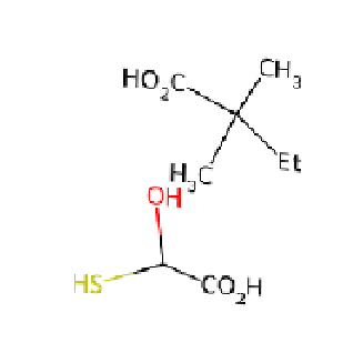 CCC(C)(C)C(=O)O.O=C(O)C(O)S